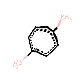 Bc1ccc(B)cc1